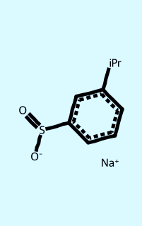 CC(C)c1cccc(S(=O)[O-])c1.[Na+]